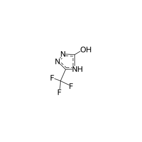 Oc1nnc(C(F)(F)F)[nH]1